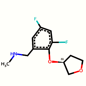 CNCc1cc(F)cc(F)c1O[C@H]1CCOC1